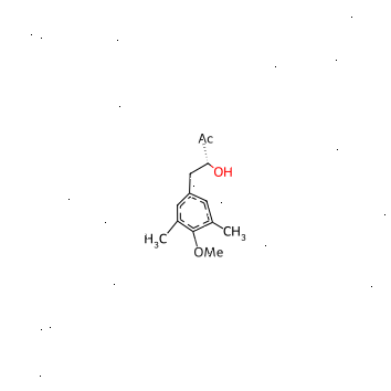 COc1c(C)cc(C[C@@H](O)C(C)=O)cc1C